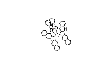 O=C(CCC1(CC2(CCC(=O)Oc3ccccc3)c3cc4ccccc4cc3-c3nc4ccccc4cc32)c2cc3ccccc3cc2-c2nc3ccccc3cc21)Oc1ccccc1